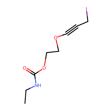 CCNC(=O)OCCOC#CCI